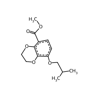 COC(=O)c1ccc(OCC(C)C)c2c1OCCO2